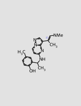 CN/C=C(\C)c1cnn2ccc(NC(C)c3cc(C)ccc3O)nc12